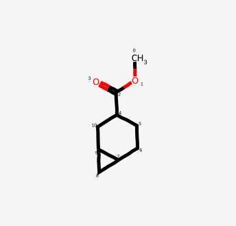 COC(=O)C1CCC2CC2C1